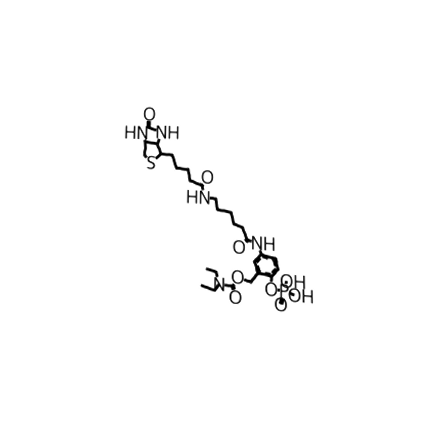 CCN(CC)C(=O)OCc1cc(NC(=O)CCCCCNC(=O)CCCCC2SCC3NC(=O)NC32)ccc1OP(=O)(O)O